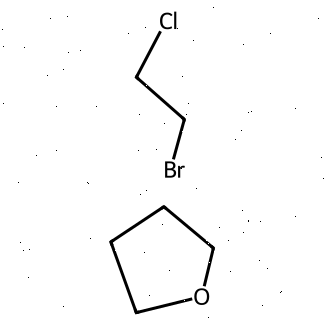 C1CCOC1.ClCCBr